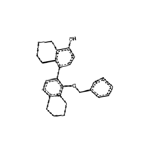 Oc1ccc(-c2c[c]c3c(c2OCc2ccccc2)CCCC3)c2c1CCCC2